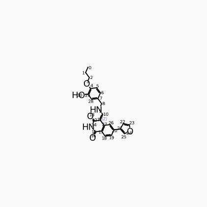 CCCOc1ccc(CN/C=C2\C(=O)NC(=O)c3ccc(-c4ccoc4)cc32)cc1O